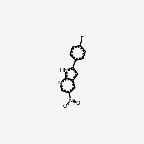 O=[N+]([O-])c1cnc2[nH]c(-c3ccc(F)cc3)cc2c1